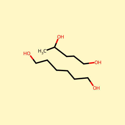 CC(O)CCCO.OCCCCCCO